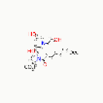 CCCCCCCCCCCCCCCC(=O)N1CCC[C@H]1C(=O)O.OCCN(CCO)CCO